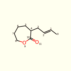 CC=CCC1CCCCOC1=O